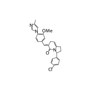 COc1cc(C=C2CC=C3CCC(c4ccc(Cl)cc4)N3C2=O)ccc1-n1cnc(C)c1